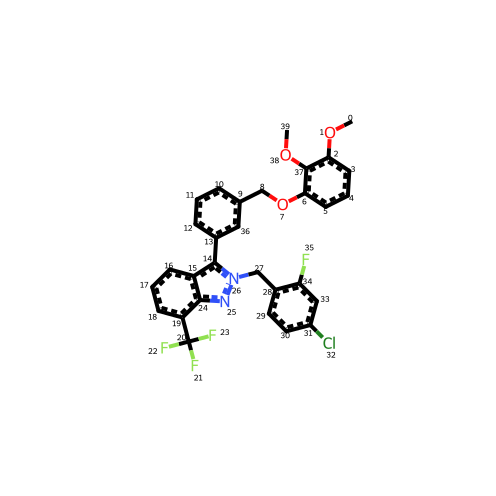 COc1cccc(OCc2cccc(-c3c4cccc(C(F)(F)F)c4nn3Cc3ccc(Cl)cc3F)c2)c1OC